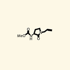 C=CCN1CC[C@H](NC(=O)OC)C1=O